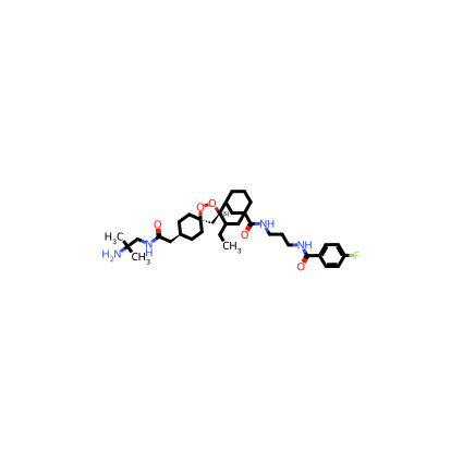 CCC1CC2(C(=O)NCCCNC(=O)c3ccc(F)cc3)CCCC(C2)[C@]12C[C@]1(CC[C@H](CC(=O)NCC(C)(C)N)CC1)OO2